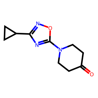 O=C1CCN(c2nc(C3CC3)no2)CC1